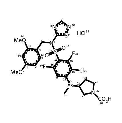 COc1ccc(CN(c2ncns2)S(=O)(=O)c2c(F)cc([As](C)C3CCN(C(=O)O)C3)c(Cl)c2F)c(OC)c1.Cl